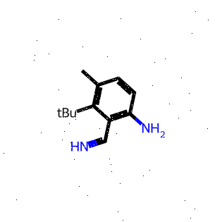 Cc1ccc(N)c(C=N)c1C(C)(C)C